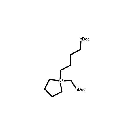 CCCCCCCCCCCCCC[N+]1(CCCCCCCCCCC)CCCC1